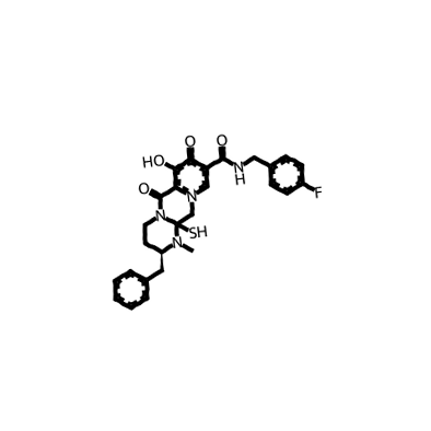 CN1[C@@H](Cc2ccccc2)CCN2C(=O)c3c(O)c(=O)c(C(=O)NCc4ccc(F)cc4)cn3CC21S